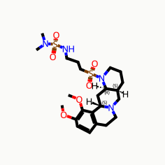 COc1ccc2c(c1OC)[C@@H]1C[C@@H]3[C@@H](CCCN3S(=O)(=O)CCCNS(=O)(=O)N(C)C)CN1CC2